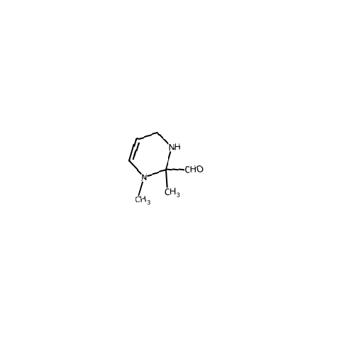 CN1C=CCNC1(C)C=O